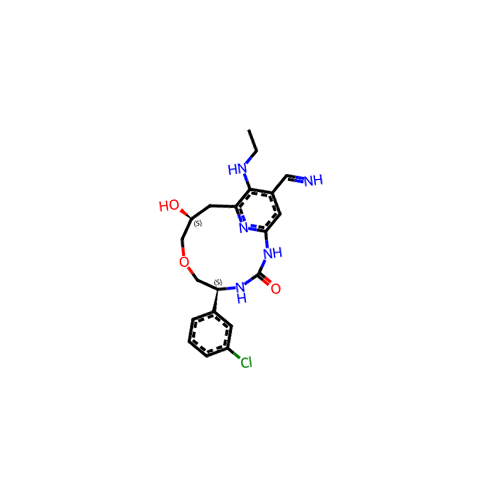 CCNc1c(C=N)cc2nc1C[C@H](O)COC[C@H](c1cccc(Cl)c1)NC(=O)N2